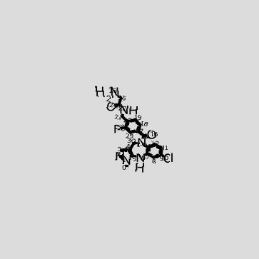 Cn1ncc2c1Nc1cc(Cl)ccc1N(C(=O)c1ccc(CNC(=O)CN)c(F)c1)C2